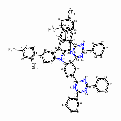 FC(F)(F)c1ccc(-c2ccc3c(c2)c2cc(-c4ccc(C(F)(F)F)cc4C(F)(F)F)ccc2n3-c2ccc(-c3nc(-c4ccccc4)nc(-c4ccccc4)n3)cc2-c2nc(-c3ccccc3)nc(-c3ccccc3)n2)c(C(F)(F)F)c1